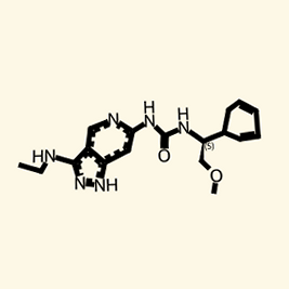 CCNc1n[nH]c2cc(NC(=O)N[C@H](COC)C3C=CC=CC3)ncc12